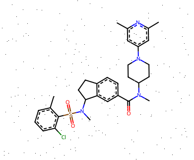 Cc1cc(N2CCC(N(C)C(=O)c3ccc4c(c3)C(N(C)S(=O)(=O)c3c(C)cccc3Cl)CC4)CC2)cc(C)n1